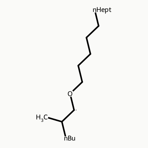 CCCCCCCCCCCCO[CH]C(C)CCCC